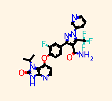 CC(C)n1c(=O)[nH]c2nccc(Oc3ccc(-c4nn(-c5cccnc5)c(C(F)(F)F)c4C(N)=O)cc3F)c21